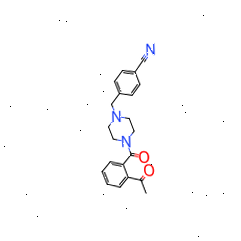 CC(=O)c1ccccc1C(=O)N1CCN(Cc2ccc(C#N)cc2)CC1